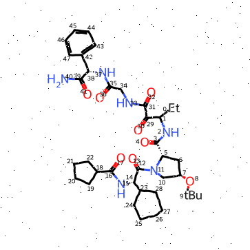 CCC(NC(=O)[C@@H]1C[C@@H](OC(C)(C)C)CN1C(=O)[C@@H](NC(=O)C1CCCC1)C1CCCCC1)C(=O)C(=O)NCC(=O)N[C@H](C(N)=O)c1ccccc1